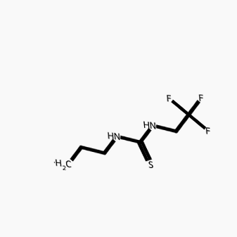 [CH2]CCNC(=S)NCC(F)(F)F